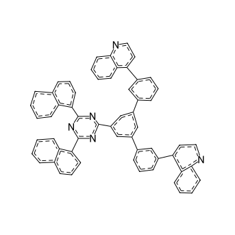 c1cc(-c2cc(-c3cccc(-c4ccnc5ccccc45)c3)cc(-c3nc(-c4cccc5ccccc45)nc(-c4cccc5ccccc45)n3)c2)cc(-c2ccnc3ccccc23)c1